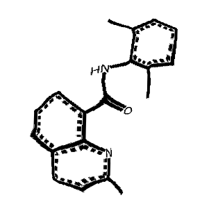 Cc1ccc2cccc(C(=O)Nc3c(C)cccc3C)c2n1